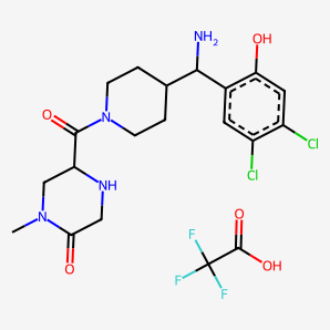 CN1CC(C(=O)N2CCC(C(N)c3cc(Cl)c(Cl)cc3O)CC2)NCC1=O.O=C(O)C(F)(F)F